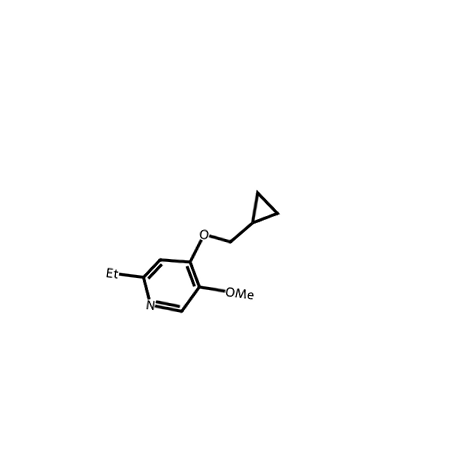 CCc1cc(OCC2CC2)c(OC)cn1